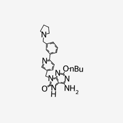 CCCCOc1nc(N)c2[nH]c(=O)n(Cc3ccc(-c4cccc(CN5CCCC5)c4)nc3)c2n1